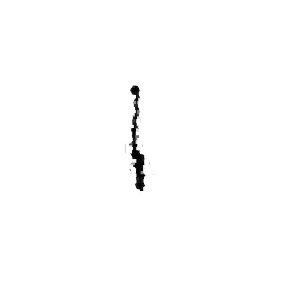 C[C@H](N(Cc1ccc(F)cc1)C(=O)CN1C(=O)OC2(CCc3cc(NC(=O)CCCNC(=O)CCOCCOCCOCCc4ccccc4)ccc32)C1=O)C(F)(F)F